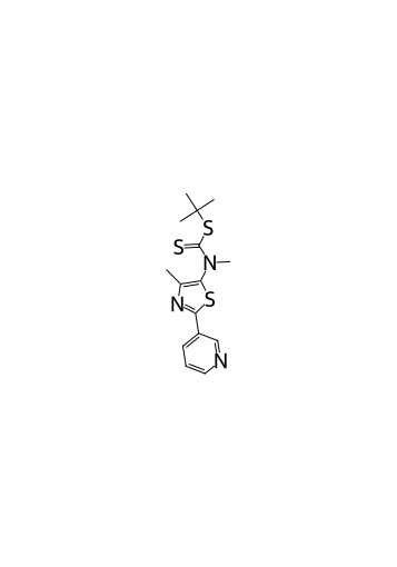 Cc1nc(-c2cccnc2)sc1N(C)C(=S)SC(C)(C)C